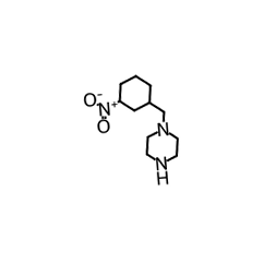 O=[N+]([O-])C1CCCC(CN2CCNCC2)C1